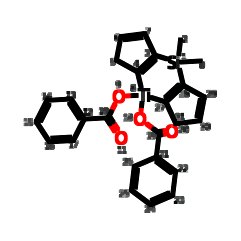 C[Si]1(C)C2=[C](CC=C2)[Ti]([O]C(=O)c2ccccc2)([O]C(=O)c2ccccc2)[C]2=C1C=CC2